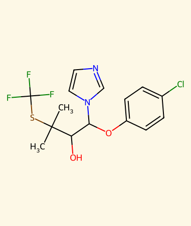 CC(C)(SC(F)(F)F)C(O)C(Oc1ccc(Cl)cc1)n1ccnc1